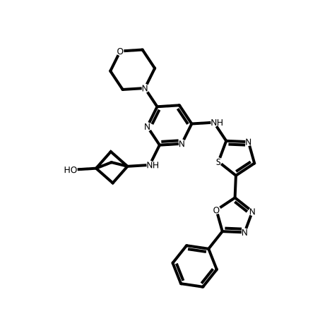 OC12CC(Nc3nc(Nc4ncc(-c5nnc(-c6ccccc6)o5)s4)cc(N4CCOCC4)n3)(C1)C2